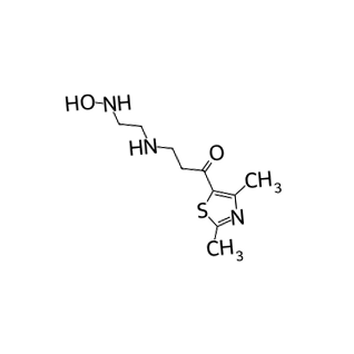 Cc1nc(C)c(C(=O)CCNCCNO)s1